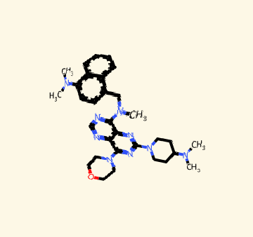 CN(C)c1ccc(CN(C)c2ncnc3c(N4CCOCC4)nc(N4CCC(N(C)C)CC4)nc23)c2ccccc12